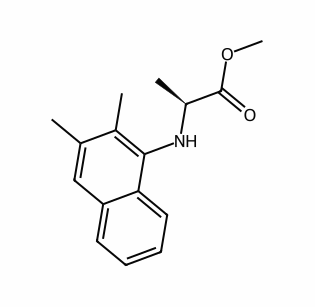 COC(=O)[C@H](C)Nc1c(C)c(C)cc2ccccc12